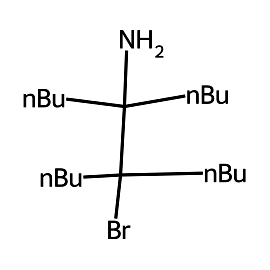 CCCCC(N)(CCCC)C(Br)(CCCC)CCCC